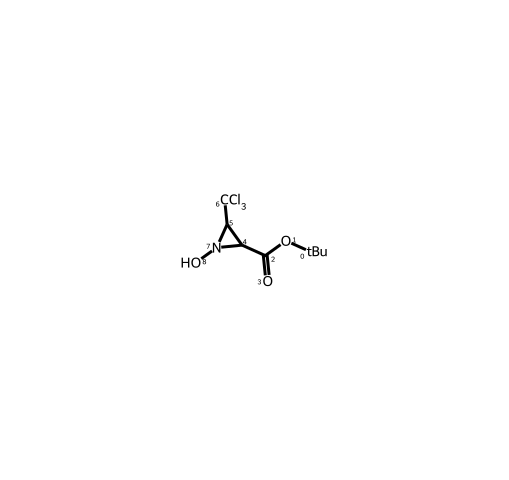 CC(C)(C)OC(=O)C1C(C(Cl)(Cl)Cl)N1O